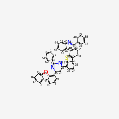 c1ccc(-c2nc(-c3cccc4c3oc3ccccc34)cc(-c3cccc4c3sc3c4ccc4c(-c5ccccc5)nc5ccccc5c43)n2)cc1